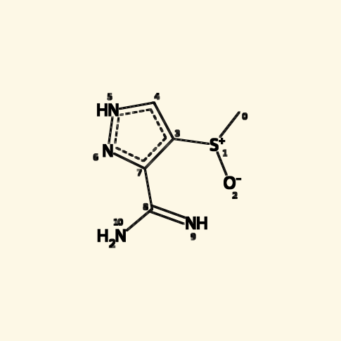 C[S+]([O-])c1c[nH]nc1C(=N)N